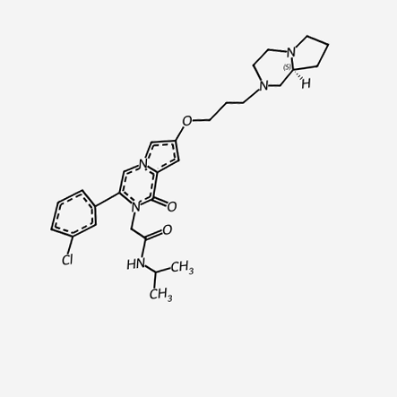 CC(C)NC(=O)Cn1c(-c2cccc(Cl)c2)cn2cc(OCCCN3CCN4CCC[C@H]4C3)cc2c1=O